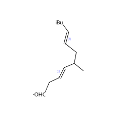 CCC(C)/C=C/CC(C)/C=C/C[C]=O